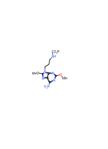 CCCCOc1nc(N)c2nc(OC)n(CCCNC(=O)O)c2n1